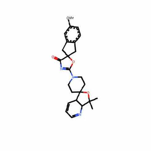 COc1ccc2c(c1)CC1(C2)OC(N2CCC3(CC2)OC(C)(C)C2N=CC=CC23)=NC1=O